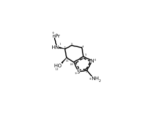 CCCN[C@H]1CCc2nc(N)sc2[C@H]1O